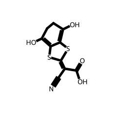 N#CC(C(=O)O)=C1SC2=C(O)CCC(O)=C2S1